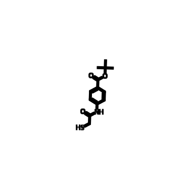 CC(C)(C)OC(=O)c1ccc(NC(=O)CS)cc1